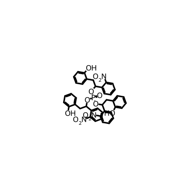 O=[N+]([O-])c1ccccc1C(Cc1ccccc1O)OP(=O)(OC(Cc1ccccc1O)c1ccccc1[N+](=O)[O-])OC(Cc1ccccc1O)c1ccccc1[N+](=O)[O-]